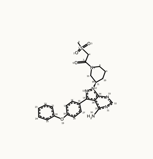 CS(=O)(=O)CC(=O)N1CCC[C@@H](n2nc(-c3ccc(Oc4ccccc4)cc3)c3c(N)ncnc32)C1